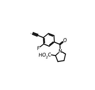 [C]#Cc1ccc(C(=O)N2CCCC2C(=O)O)cc1F